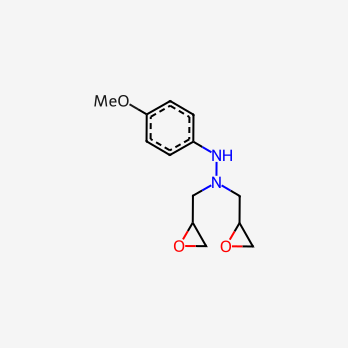 COc1ccc(NN(CC2CO2)CC2CO2)cc1